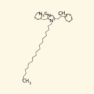 CCCCCCCCCCCCCCCCCCC[n+]1c(CC(C)c2ccccc2)cn(C)c1Cc1ccccc1